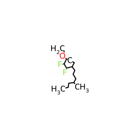 C=COC1CCC(CCCC(C)CCC)C(F)C1F